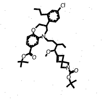 CCCc1cc(Cl)ccc1C1COc2ccc(C(=O)OC(C)(C)C)cc2N(CCC(CC)C(OC)C2=CC3(C2)CN(C(=O)OC(C)(C)C)C3)C1